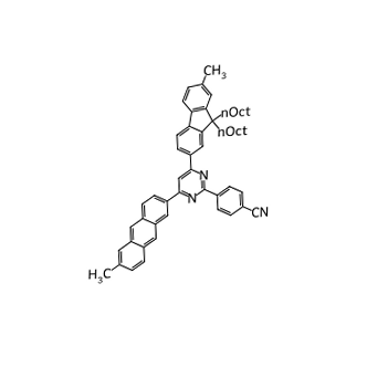 CCCCCCCCC1(CCCCCCCC)c2cc(C)ccc2-c2ccc(-c3cc(-c4ccc5cc6cc(C)ccc6cc5c4)nc(-c4ccc(C#N)cc4)n3)cc21